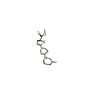 COC(=O)c1cnc(N2CCC(N3CCCC(C)C3)CC2)s1